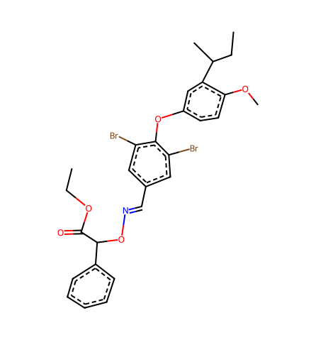 CCOC(=O)C(ON=Cc1cc(Br)c(Oc2ccc(OC)c(C(C)CC)c2)c(Br)c1)c1ccccc1